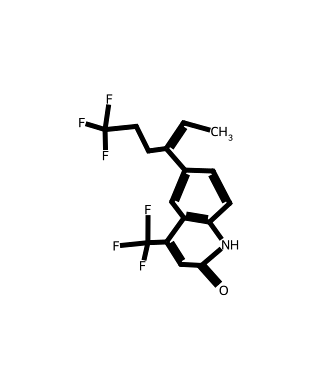 C/C=C(/CCC(F)(F)F)c1ccc2[nH]c(=O)cc(C(F)(F)F)c2c1